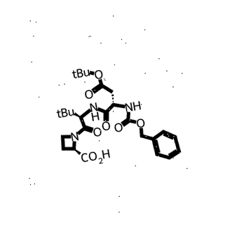 CC(C)(C)OC(=O)C[C@H](NC(=O)OCc1ccccc1)C(=O)N[C@@H](C(=O)N1CC[C@@H]1C(=O)O)C(C)(C)C